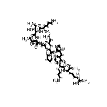 N=C(N)NCCC[C@@H](NC(=O)[C@H](CCCCN)NC(=O)C(Cc1cnc[nH]1)NC(=O)[C@@H]1CCCN1C(=O)[C@@H](CCCN)NC(=O)CNC(=O)[C@@H](NC(=O)[C@@H](NC(=O)[C@@H](N)CCCCN)[C@@H](O)CN)[C@@H](O)CN)C(N)=O